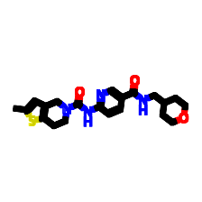 Cc1cc2c(s1)CCN(C(=O)Nc1ccc(C(=O)NCC3CCOCC3)cn1)C2